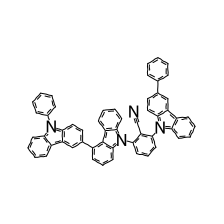 N#Cc1c(-n2c3ccccc3c3cc(-c4ccccc4)ccc32)cccc1-n1c2ccccc2c2c(-c3ccc4c(c3)c3ccccc3n4-c3ccccc3)cccc21